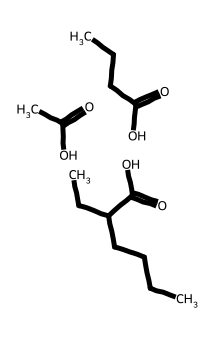 CC(=O)O.CCCC(=O)O.CCCCC(CC)C(=O)O